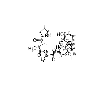 C[C@H](NC(=O)[C@@H]1CCCN1)C(=O)O[C@@H](C)C(=O)OC1=CC[C@@]2(O)[C@@H]3CCCC24c2c(ccc(O)c2O[C@@H]14)C3